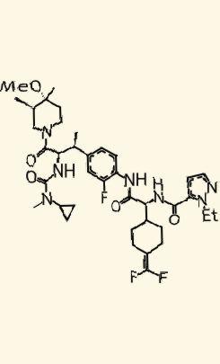 CCn1nccc1C(=O)N[C@H](C(=O)Nc1ccc([C@H](C)[C@@H](NC(=O)N(C)C2CC2)C(=O)N2CC[C@@](C)(OC)[C@H](C)C2)cc1F)C1CCC(=C(F)F)CC1